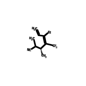 C=C/C(CC)=C(\[C@H](C)C(C)C#N)C(F)(F)F